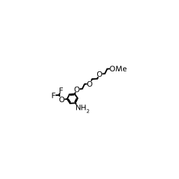 COCCOCCOCCOc1cc(N)cc(OC(F)F)c1